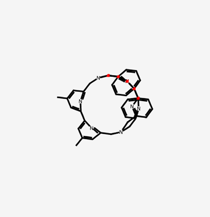 Cc1cc2nc(c1)-c1cc(C)cc(n1)CN1Cc3cccc(n3)-c3cccc(n3)CN(Cc3cccc(n3)-c3cccc(n3)C1)C2